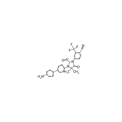 CC1(C)C(=O)N(c2ccc(C#N)c(C(F)(F)F)c2)C([S+]=O)N1c1ccc(-c2ccc(N)cc2)cc1